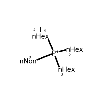 CCCCCCCCC[P+](CCCCCC)(CCCCCC)CCCCCC.[I-]